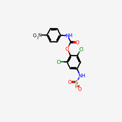 O=C(Nc1ccc([N+](=O)[O-])cc1)Oc1c(Cl)cc(N[SH](=O)=O)cc1Cl